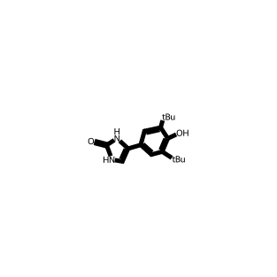 CC(C)(C)c1cc(-c2c[nH]c(=O)[nH]2)cc(C(C)(C)C)c1O